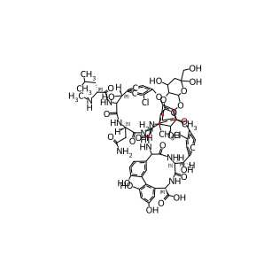 CN[C@H](CC(C)C)C(=O)NC1C(=O)N[C@@H](CC(N)=O)C(=O)N[C@H]2C(=O)NC3C(=O)N[C@H](C(=O)N[C@@H](C(=O)O)c4cc(O)cc(O)c4-c4cc3ccc4O)[C@H](O)c3ccc(c(Cl)c3)Oc3cc2cc(c3OC2OC(O)(CO)CC(O)C2OC2CC(C)(N)C(O)C(C)O2)Oc2ccc(cc2Cl)[C@H]1O